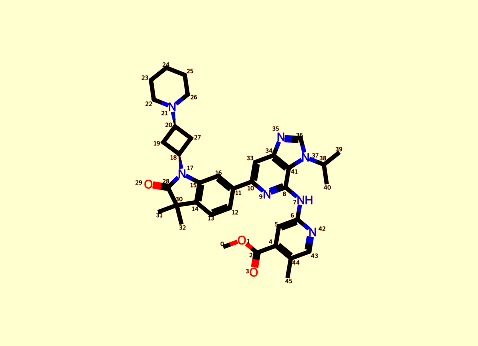 COC(=O)c1cc(Nc2nc(-c3ccc4c(c3)N([C@H]3C[C@@H](N5CCCCC5)C3)C(=O)C4(C)C)cc3ncn(C(C)C)c23)ncc1C